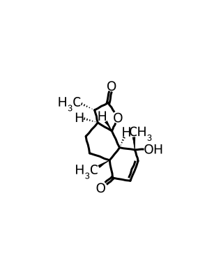 C[C@@H]1C(=O)O[C@H]2[C@H]1CC[C@@]1(C)C(=O)C=C[C@@](C)(O)[C@H]21